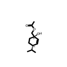 CC(=O)OC[C@]1(O)C=C[C@@H](C(C)C)CC1